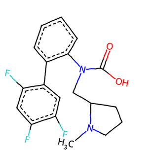 CN1CCCC1CN(C(=O)O)c1ccccc1-c1cc(F)c(F)cc1F